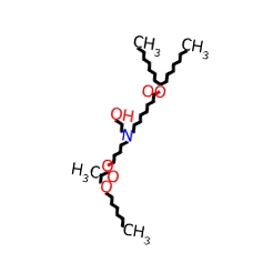 CCCCCCCCOCC(C)C(=O)OCCCCCN(CCCO)CCCCCCCC(=O)OC(CCCCCCCC)CCCCCCCC